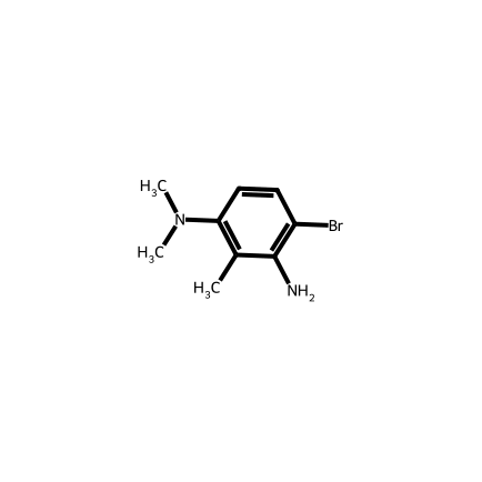 Cc1c(N(C)C)ccc(Br)c1N